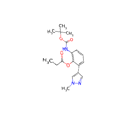 CCC(=O)Oc1c(NC(=O)OC(C)(C)C)cccc1-c1cnn(C)c1